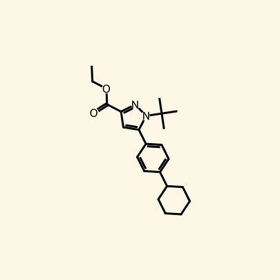 CCOC(=O)c1cc(-c2ccc(C3CCCCC3)cc2)n(C(C)(C)C)n1